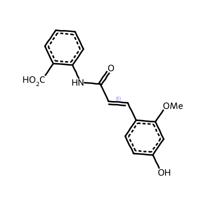 COc1cc(O)ccc1/C=C/C(=O)Nc1ccccc1C(=O)O